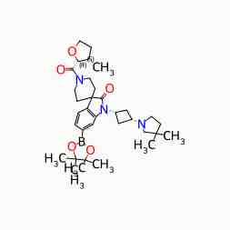 C[C@H]1CCO[C@H]1C(=O)N1CCC2(CC1)C(=O)N([C@H]1C[C@@H](N3CCC(C)(C)C3)C1)c1cc(B3OC(C)(C)C(C)(C)O3)ccc12